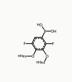 CCCCCCOc1c(F)cc(B(O)O)c(F)c1OCCCCCC